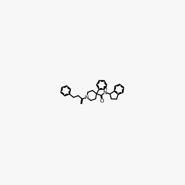 C=C(CCc1ccccc1)N1CCC(C(=O)NC2CCc3ccccc32)(c2ccccc2)CC1